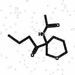 CCCC(=O)C1(NC(C)=O)CCCOC1